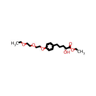 CCOCCOCCOc1ccc(CCC[C@@H](O)C(=O)OCC)cc1